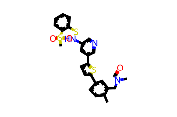 Cc1ccc(-c2ccc(-c3cncc(NSc4ccccc4S(C)(=O)=O)c3)s2)cc1CN(C)C=O